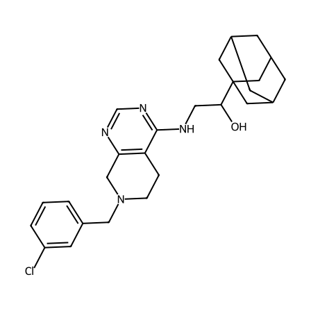 OC(CNc1ncnc2c1CCN(Cc1cccc(Cl)c1)C2)C12CC3CC(CC(C3)C1)C2